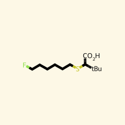 CC(C)(C)C(SCCCCCCF)C(=O)O